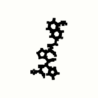 CC(=O)NC(C(=O)N1CCCC1C(=O)NCc1ccc2c(N)nccc2c1)c1ccsc1